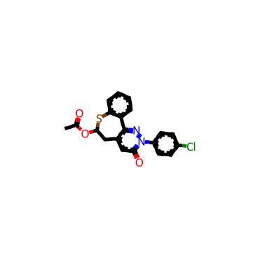 CC(=O)OC1Cc2cc(=O)n(-c3ccc(Cl)cc3)nc2-c2ccccc2S1